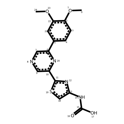 COc1ccc(-c2cncc(-c3nc(NC(=O)O)cs3)n2)cc1OC